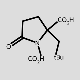 CC(C)(C)CC1(C(=O)O)CCC(=O)N1C(=O)O